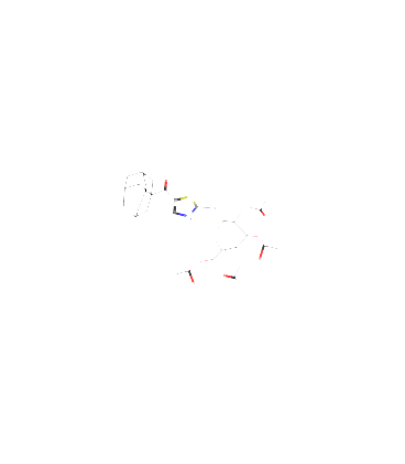 CC(=O)OCC1O[C@H](Nc2ncc(C(=O)C34CC5CC(CC(C5)C3)C4)s2)C(OC(C)=O)C(OC(C)=O)[C@@H]1OC(C)=O